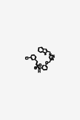 O=S(=O)(C=Cc1cccc(Cl)c1)Nc1cccc(OCc2cn(Cc3cc4ccccc4s3)nn2)c1